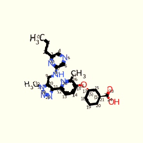 CCCc1cncc(NCc2c(-c3ccc(O[C@H]4CCC[C@H](C(=O)O)C4)c(C)n3)nnn2C)n1